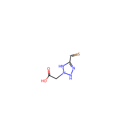 O=C(O)CN1NN=C([C]=S)N1